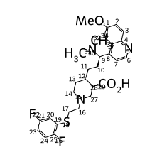 COc1ccc2nccc([C@@H](CC[C@@H]3CCN(CCSc4cc(F)ccc4F)C[C@@H]3C(=O)O)N(C)C)c2c1